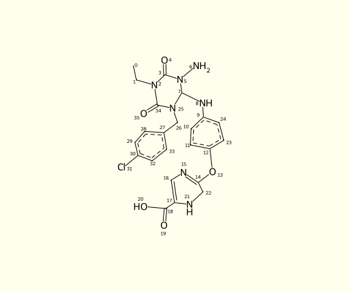 CCN1C(=O)N(N)C(Nc2ccc(OC3=NC=C(C(=O)O)NC3)cc2)N(Cc2ccc(Cl)cc2)C1=O